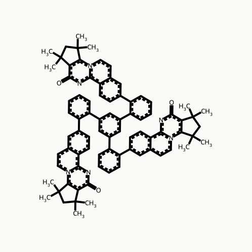 CC1(C)CC(C)(C)c2c1c(=O)nc1c3ccc(-c4ccccc4-c4cc(-c5ccccc5-c5ccc6c(ccn7c8c(c(=O)nc67)C(C)(C)CC8(C)C)c5)cc(-c5ccccc5-c5ccc6c(ccn7c8c(c(=O)nc67)C(C)(C)CC8(C)C)c5)c4)cc3ccn21